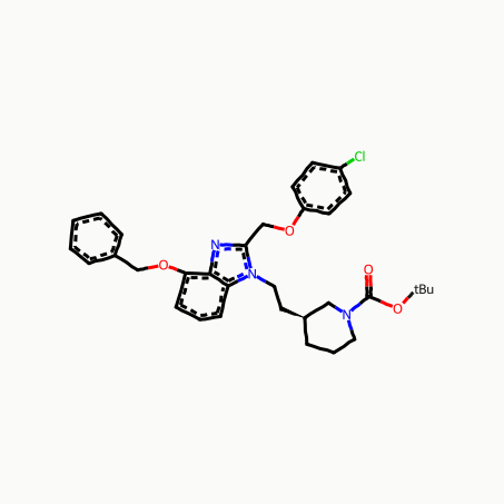 CC(C)(C)OC(=O)N1CCC[C@@H](CCn2c(COc3ccc(Cl)cc3)nc3c(OCc4ccccc4)cccc32)C1